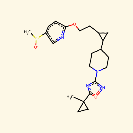 C[S+]([O-])c1ccc(OCCC2CC2C2CCN(c3noc(C4(C)CC4)n3)CC2)nc1